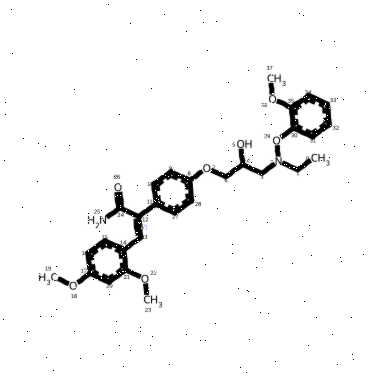 CCN(CC(O)COc1ccc(/C(=C/c2ccc(OC)cc2OC)C(N)=O)cc1)Oc1ccccc1OC